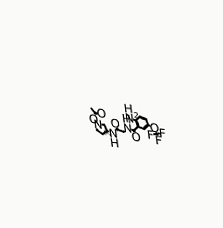 CC(=O)ON1CC[C@@H](NC(=O)CNC(=O)c2cc(OC(F)(F)F)ccc2N)C1